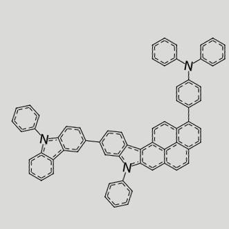 c1ccc(N(c2ccccc2)c2ccc(-c3ccc4ccc5cc6c(c7ccc3c4c57)c3ccc(-c4ccc5c(c4)c4ccccc4n5-c4ccccc4)cc3n6-c3ccccc3)cc2)cc1